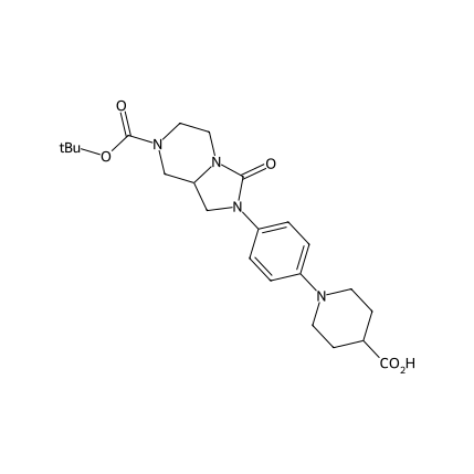 CC(C)(C)OC(=O)N1CCN2C(=O)N(c3ccc(N4CCC(C(=O)O)CC4)cc3)CC2C1